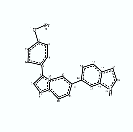 CC(C)Oc1ccc(-c2cnc3ccc(-c4ccc5cc[nH]c5c4)cn23)cc1